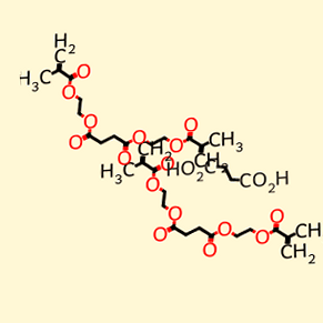 C=C(C)C(=O)OCCOC(=O)CCC(=O)OCCOC(=O)C(=C)C.C=C(C)C(=O)OCCOC(=O)CCC(=O)OCCOC(=O)C(=C)C.O=C(O)CCC(=O)O